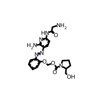 NCC(=O)Nc1ccc(/N=N/c2ccccc2OCOC(=O)N2CCCC2CO)c(N)n1